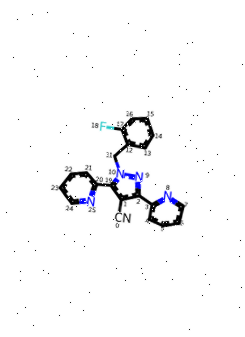 N#Cc1c(-c2ccccn2)nn(Cc2ccccc2F)c1-c1ccccn1